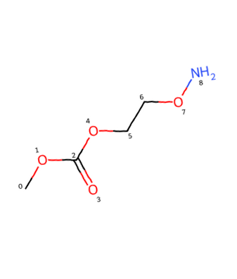 COC(=O)OCCON